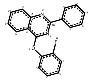 Fc1ccccc1Oc1nc(-c2ccccc2)nc2ccccc12